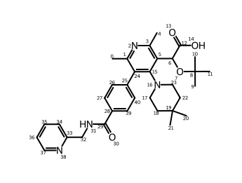 Cc1nc(C)c(C(OC(C)(C)C)C(=O)O)c(N2CCC(C)(C)CC2)c1-c1ccc(C(=O)NCc2ccccn2)cc1